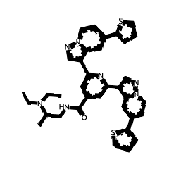 CCN(CC)C(C)CNC(=O)c1cc(-c2cnn3ccc(-c4cccs4)cc23)nc(-c2cnn3ccc(-c4cccs4)cc23)c1